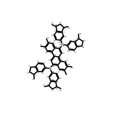 Cc1cc2c(N(c3ccc4c(c3)C(C)CC4)c3ccc4c(c3)C(C)CC4C)cc3c4cc(C)c(C)cc4c(N(c4ccc5c(c4)C(C)CC5)c4ccc5c(c4)C(C)CC5C)cc3c2cc1C